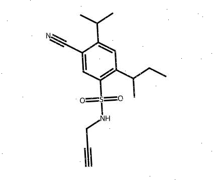 C#CCNS(=O)(=O)c1cc(C#N)c(C(C)C)cc1C(C)CC